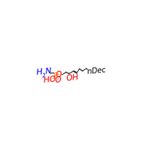 CCCCCCCCCCCCC/C=C/[C@@H](O)CCOP(=O)(O)CCN